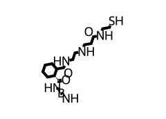 N=BNC(=O)[C@@H]1CCCCC1C(=O)NCCNCCC(=O)NCCS